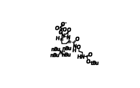 CC(C)(C)OC(=O)NCCONC(=O)[C@@H]1CC[C@@H]2CN1C(=O)N2OS(=O)(=O)[O-].CCCC[N+](CCCC)(CCCC)CCCC